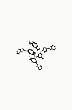 Cc1cc(-c2cc3ccccc3o2)cc(C)c1N1c2cc(C(C)C)cc3c2B(c2ccc(-c4cc5ccccc5s4)cc2N3c2cccc(-c3cc4ccccc4s3)c2)c2c1sc1ccc(C(C)(C)C)cc21